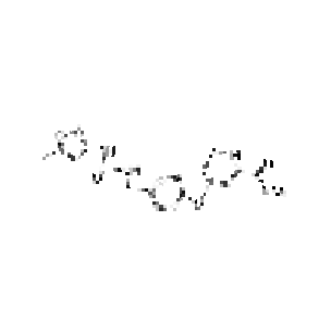 CNC(=O)c1cc(Oc2ccc(CNC(=O)Nc3cc(C)on3)cc2)ccn1